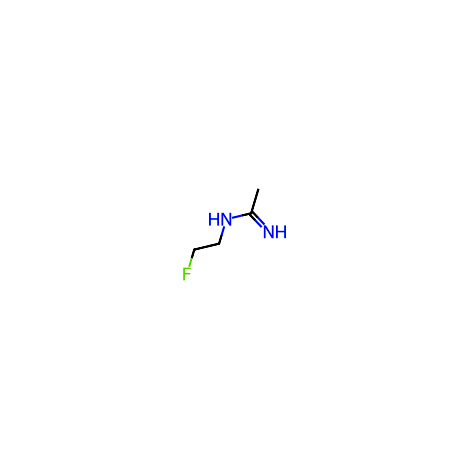 CC(=N)NCCF